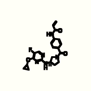 C=CC(=O)Nc1ccc(C(=O)N2CC[C@@H](Nc3ncc(F)c(OC4CC4)n3)C2)cc1